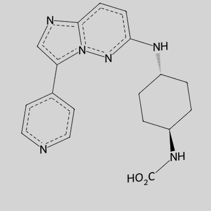 O=C(O)N[C@H]1CC[C@H](Nc2ccc3ncc(-c4ccncc4)n3n2)CC1